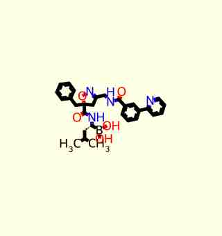 CC(C)C[C@H](NC(=O)C1(Cc2ccccc2)CC(CNC(=O)c2cccc(-c3ccccn3)c2)=NO1)B(O)O